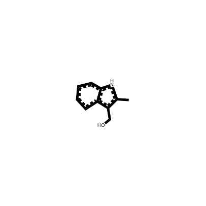 Cc1[nH]c2ccccc2c1CO